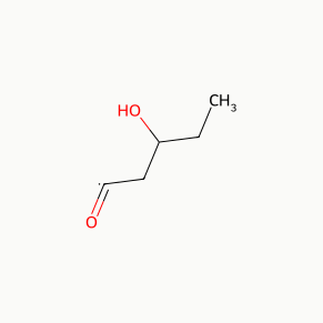 CCC(O)C[C]=O